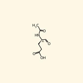 CC(=O)N[C@@H](C=O)CCC(=O)O